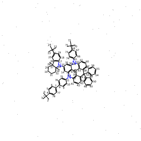 CC(C)(C)c1ccc(-c2ccc(N3c4cc(N5c6ccc(C(C)(C)C)cc6C6(C)CCCCC56C)cc5c4B4c6c3cccc6C(c3ccccc3)(c3ccccc3)c3cccc(c34)N5c3ccc(C(C)(C)C)cc3)cc2)cc1